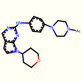 CC(=O)N1CCN(c2ccc(Nc3ncc4ccn(C5CCOCC5)c4n3)cc2)CC1